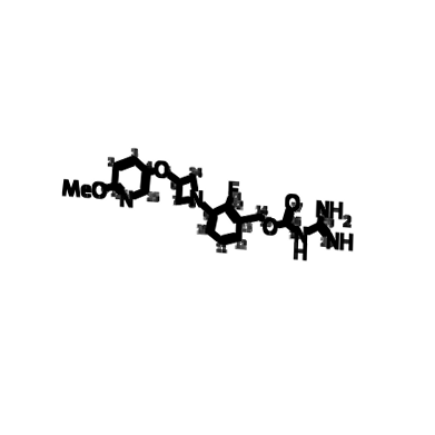 COc1ccc(OC2CN(c3cccc(COC(=O)NC(=N)N)c3F)C2)cn1